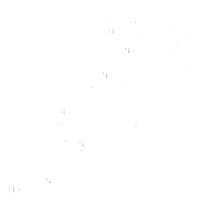 Cc1ccc(C(=O)Nc2cc(F)cc(CN3CCN(C(=O)C4CC(F)(F)C4)[C@@H](C)C3)c2C)cn1